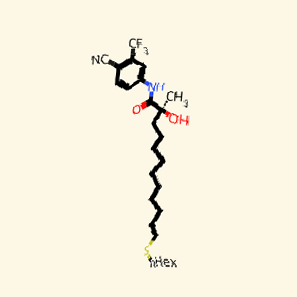 CCCCCCSCCCCCCCCCC[C@](C)(O)C(=O)Nc1ccc(C#N)c(C(F)(F)F)c1